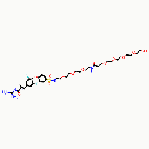 C/C(=C\c1cc(F)c(Oc2ccc(S(=O)(=O)NCCOCCOCCOCCNC(=O)CCOCCOCCOCCOCCO)cc2)c(F)c1)C(=O)N=C(N)N